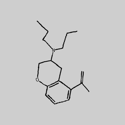 C=C(C)c1cccc2c1CC(N(CCC)CCC)CO2